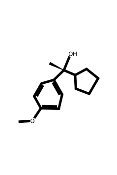 COc1ccc([C@](C)(O)C2CCCC2)cc1